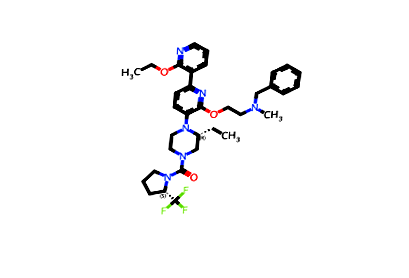 CCOc1ncccc1-c1ccc(N2CCN(C(=O)N3CCC[C@H]3C(F)(F)F)C[C@H]2CC)c(OCCN(C)Cc2ccccc2)n1